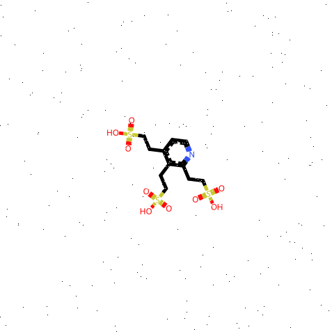 O=S(=O)(O)CCc1ccnc(CCS(=O)(=O)O)c1CCS(=O)(=O)O